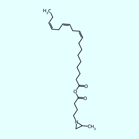 CC/C=C\C/C=C\C/C=C\CCCCCCCC(=O)OC(=O)CCCN1CC1C